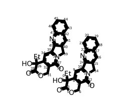 CCC1(O)C(=O)OCc2c1cc1n(c2=O)Cc2cc3ccccc3nc2-1.CCC1(O)C(=O)OCc2c1cc1n(c2=O)Cc2cc3ccccc3nc2-1